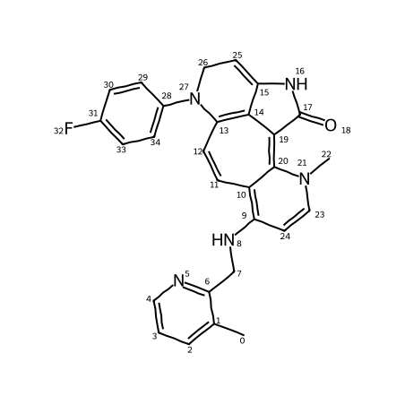 Cc1cccnc1CNC1=c2ccc3c4c([nH]c(=O)c-4c2N(C)C=C1)=CCN3c1ccc(F)cc1